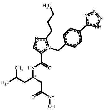 CCCCc1ncc(C(=O)N[C@@H](CC(=O)NO)CC(C)C)n1Cc1ccc(-c2nnn[nH]2)cc1